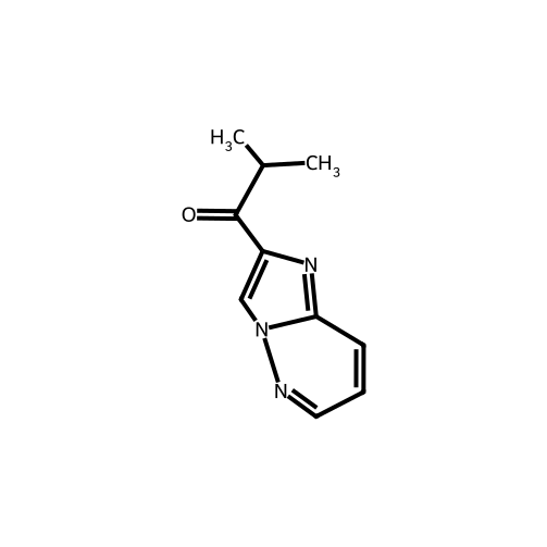 CC(C)C(=O)c1cn2ncccc2n1